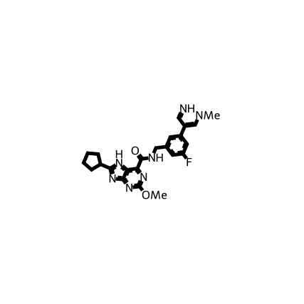 CN/C=C(\C=N)c1cc(F)cc(CNC(=O)c2nc(OC)nc3nc(C4CCCC4)[nH]c23)c1